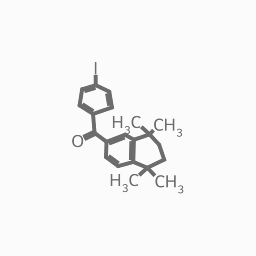 CC1(C)CCC(C)(C)c2cc(C(=O)c3ccc(I)cc3)ccc21